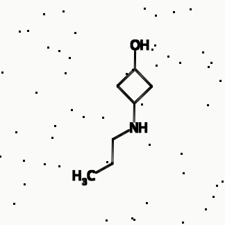 CCCNC1CC(O)C1